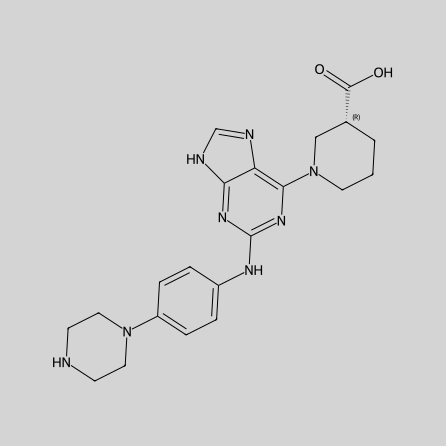 O=C(O)[C@@H]1CCCN(c2nc(Nc3ccc(N4CCNCC4)cc3)nc3[nH]cnc23)C1